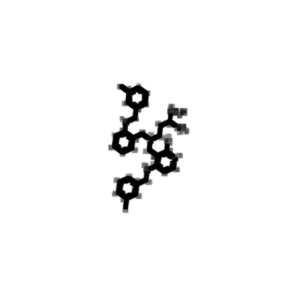 Cc1cccc(COc2ccccc2CN(CC[C@H](N)C(=O)O)Cc2c(OCc3cccc(C)c3)ccnc2Cl)c1